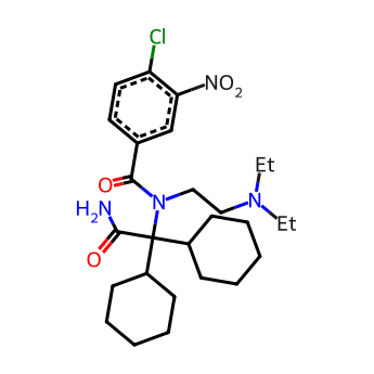 CCN(CC)CCN(C(=O)c1ccc(Cl)c([N+](=O)[O-])c1)C(C(N)=O)(C1CCCCC1)C1CCCCC1